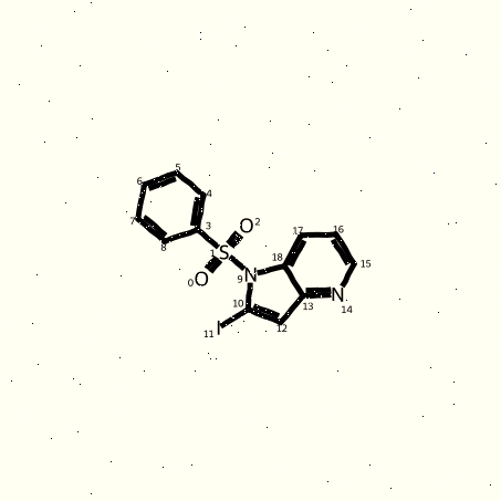 O=S(=O)(c1ccccc1)n1c(I)cc2ncccc21